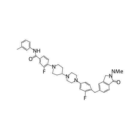 CNN1Cc2cc(Cc3ccc(N4CCN(C5CCN(c6ccc(C(=O)Nc7cccc(C)c7)cc6F)CC5)CC4)cc3F)ccc2C1=O